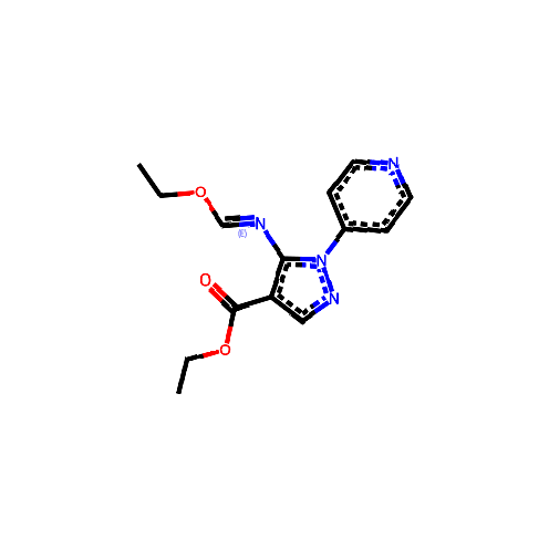 CCO/C=N/c1c(C(=O)OCC)cnn1-c1ccncc1